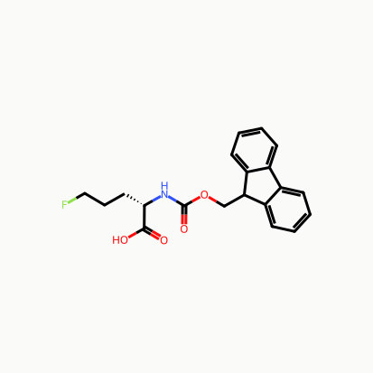 O=C(N[C@@H](CCCF)C(=O)O)OCC1c2ccccc2-c2ccccc21